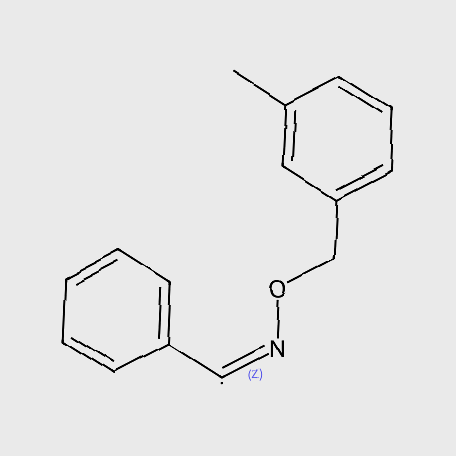 Cc1cccc(CO/N=[C]\c2ccccc2)c1